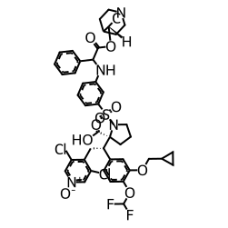 O=C(O[C@H]1CN2CCC1CC2)C(Nc1cccc(S(=O)(=O)N2CCC[C@@]2(C(=O)O)[C@@H](Cc2c(Cl)c[n+]([O-])cc2Cl)c2ccc(OC(F)F)c(OCC3CC3)c2)c1)c1ccccc1